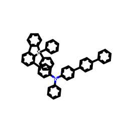 c1ccc(-c2ccc(-c3ccc(N(c4ccccc4)c4ccc(-c5cccc6c5[Si](c5ccccc5)(c5ccccc5)c5ccccc5-6)cc4)cc3)cc2)cc1